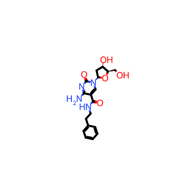 Nc1nc(=O)n([C@H]2C[C@H](O)[C@@H](CO)O2)cc1C(=O)NCCc1ccccc1